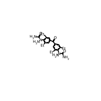 CCc1cc(C(=O)c2cc(CC)c(N(N)C(N)=O)c(CC)c2)cc(CC)c1N(N)C(N)=O